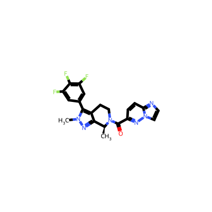 C[C@H]1c2nn(C)c(-c3cc(F)c(F)c(F)c3)c2CCN1C(=O)c1ccc2nccn2n1